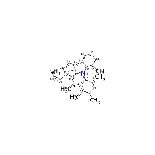 C=c1c2c(C)c(C)cc(C)c2n2c3c(C#N)cccc3c3ccc(/C=C\C)c1c32